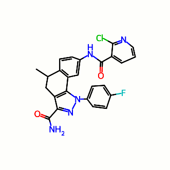 CC1Cc2c(C(N)=O)nn(-c3ccc(F)cc3)c2-c2cc(NC(=O)c3cccnc3Cl)ccc21